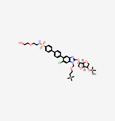 CC(C)(C)[Si](C)(C)OC1CO[C@H]2[C@@H]1OC[C@H]2Oc1nc2cc(-c3ccc(-c4ccc(S(=O)(=O)NCCOCCO)cc4)cc3)c(Cl)cc2n1COCC[Si](C)(C)C